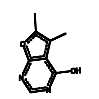 Cc1oc2ncnc(O)c2c1C